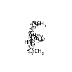 Cc1cccc(CC(=O)Nc2cc(N3CCOCC3)nc(OCCc3cnn(C)c3)n2)c1